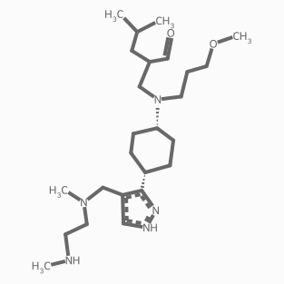 CNCCN(C)Cc1c[nH]nc1[C@H]1CC[C@@H](N(CCCOC)CC(C=O)CC(C)C)CC1